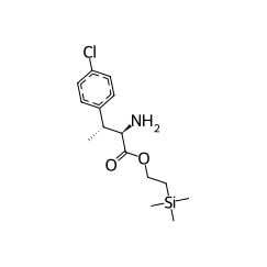 C[C@H](c1ccc(Cl)cc1)[C@@H](N)C(=O)OCC[Si](C)(C)C